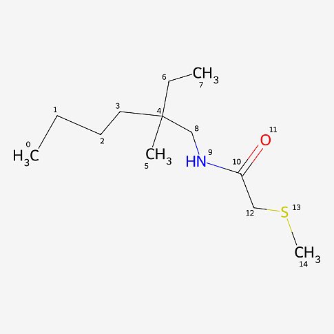 CCCCC(C)(CC)CNC(=O)CSC